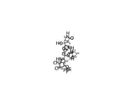 O=C1NCC[C@H]1C[C@H](NC(=O)[C@@H]1[C@H]2CCC[C@H]2CN1C(=O)c1cc2c(OC(F)(F)F)cc(Cl)c(Cl)c2[nH]1)C(=O)CO